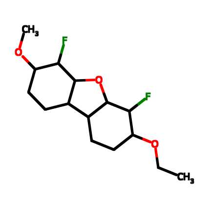 CCOC1CCC2C3CCC(OC)C(F)C3OC2C1F